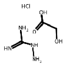 Cl.N=C(N)NN.O=C(O)CO